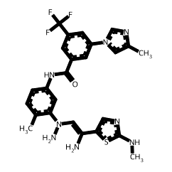 CNc1ncc(/C(N)=C/N(N)c2cc(NC(=O)c3cc(-n4cnc(C)c4)cc(C(F)(F)F)c3)ccc2C)s1